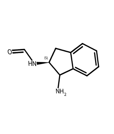 NC1c2ccccc2C[C@@H]1NC=O